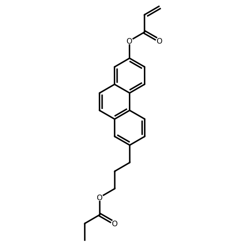 C=CC(=O)Oc1ccc2c(ccc3cc(CCCOC(=O)CC)ccc32)c1